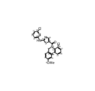 COc1ccc(CN(C(=O)c2cnc(Nc3cncc(Cl)n3)s2)c2c(C)cccc2Cl)cc1